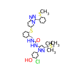 CSc1ccccc1-c1nnc2ccc(Sc3ccccc3CNC(=O)Nc3cc(C(C)(C)SC)nn3-c3ccc(O)c(Cl)c3)cn12